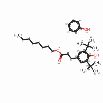 CCCCCCCCOC(=O)CCc1cc(C(C)(C)C)c(O)c(C(C)(C)C)c1.Oc1ccccc1